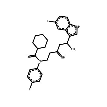 CC(CC(=N)CCN(C(=O)C1CCCCC1)c1ccc(F)cc1)c1c[nH]c2ccc(F)cc12